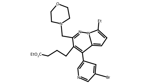 CCOC(=O)CCCc1c(CN2CCOCC2)nn2c(CC)ccc2c1-c1cncc(Br)c1